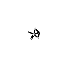 S=S12(I)SC1S2